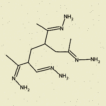 C/C(=N/N)C(/C=N/N)CC(C/C(C)=N/N)/C(C)=N/N